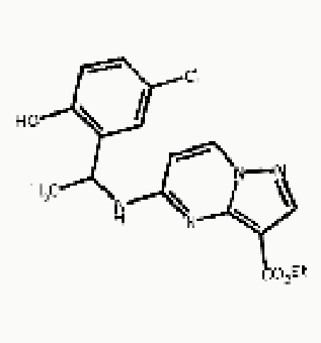 CCOC(=O)c1cnn2ccc(NC(C)c3cc(Cl)ccc3O)nc12